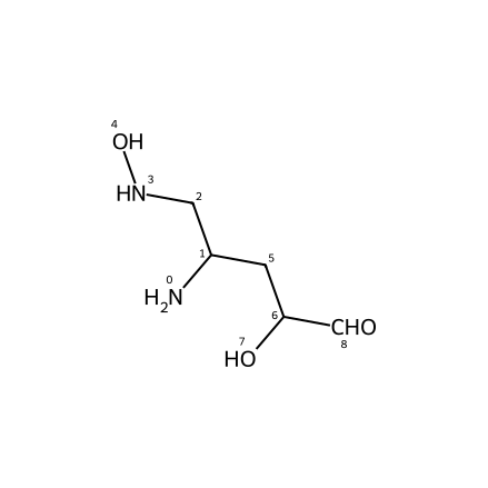 NC(CNO)CC(O)C=O